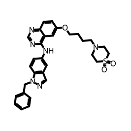 O=S1(=O)CCN(CCCCOc2ccc3ncnc(Nc4ccc5c(cnn5Cc5ccccc5)c4)c3c2)CC1